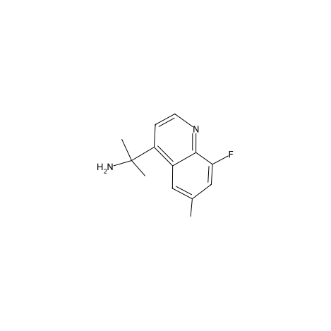 Cc1cc(F)c2nccc(C(C)(C)N)c2c1